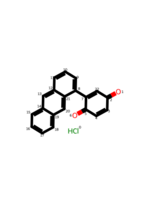 Cl.O=C1C=CC(=O)C(c2cccc3cc4ccccc4cc23)=C1